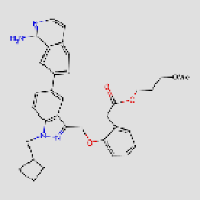 COCCCOC(=O)Cc1ccccc1OCc1nn(CC2CCC2)c2ccc(-c3ccc4ccnc(N)c4c3)cc12